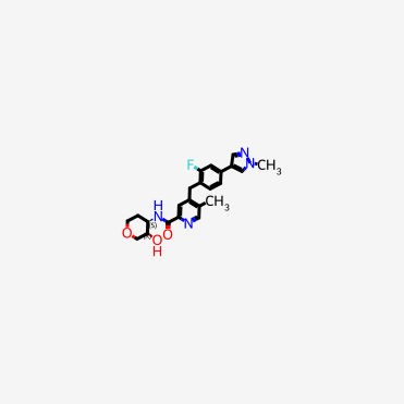 Cc1cnc(C(=O)N[C@H]2CCOC[C@@H]2O)cc1Cc1ccc(-c2cnn(C)c2)cc1F